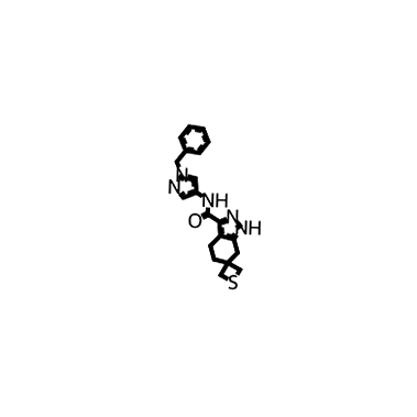 O=C(Nc1cnn(Cc2ccccc2)c1)c1n[nH]c2c1CCC1(CSC1)C2